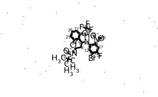 CC(C)(C)[S@@+]([O-])N=CCC(Nc1cc(Br)c(F)cc1[N+](=O)[O-])c1c(Cl)cccc1OC(F)(F)F